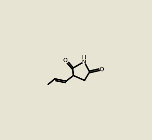 CC=CC1CC(=O)NC1=O